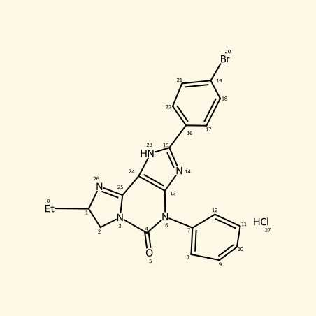 CCC1CN2C(=O)N(c3ccccc3)c3nc(-c4ccc(Br)cc4)[nH]c3C2=N1.Cl